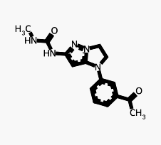 CNC(=O)Nc1cc2n(n1)CCN2c1cccc(C(C)=O)c1